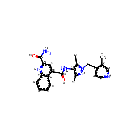 Cc1nn(Cc2ccncc2C#N)c(C)c1NC(=O)c1cc(C(N)=O)nc2ccccc12